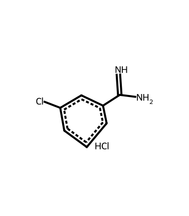 Cl.N=C(N)c1cccc(Cl)c1